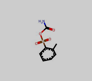 Cc1ccccc1S(=O)(=O)OC(N)=O